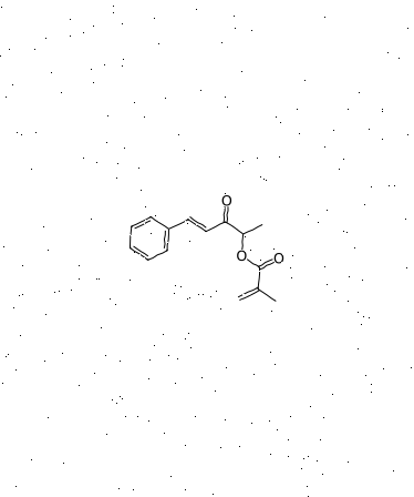 C=C(C)C(=O)OC(C)C(=O)/C=C/c1ccccc1